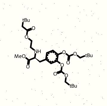 COC(=O)[C@H](Cc1ccc(OC(=O)OCC(C)(C)C)c(OC(=O)OCC(C)(C)C)c1)NCCOC(=O)CC(C)(C)C